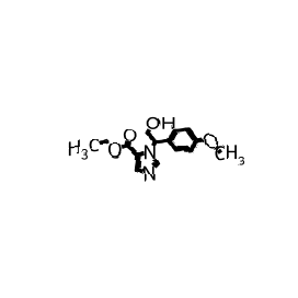 CCOC(=O)c1cncn1C(CO)c1ccc(OC)cc1